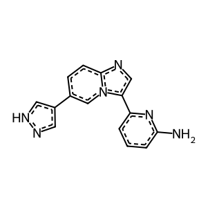 Nc1cccc(-c2cnc3ccc(-c4cn[nH]c4)cn23)n1